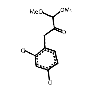 COC(OC)C(=O)Cc1ccc(Cl)cc1Cl